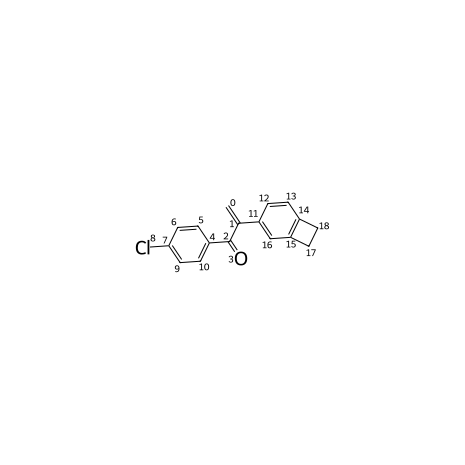 C=C(C(=O)c1ccc(Cl)cc1)c1ccc2c(c1)CC2